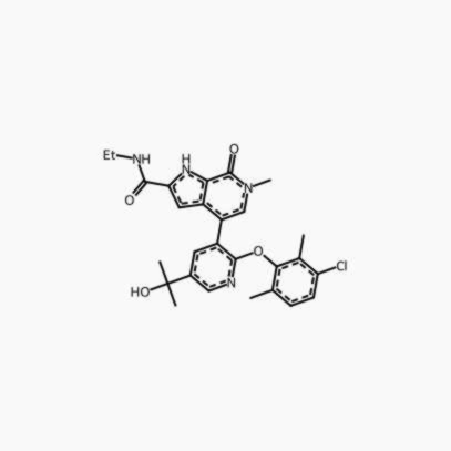 CCNC(=O)c1cc2c(-c3cc(C(C)(C)O)cnc3Oc3c(C)ccc(Cl)c3C)cn(C)c(=O)c2[nH]1